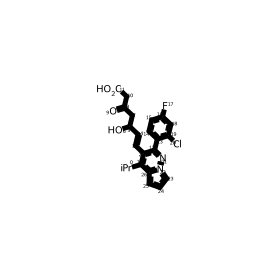 CC(C)c1c(C=CC(O)CC(=O)CC(=O)O)c(-c2ccc(F)cc2Cl)nn2cccc12